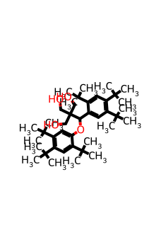 CC(C)(C)c1cc(C(C)(C)C)c(C(C)(C)C)cc1OC(c1cc(C(C)(C)C)c(C(C)(C)C)cc1C(C)(C)C)C(CO)(CO)CO